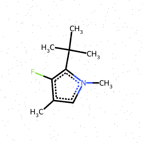 Cc1cn(C)c(C(C)(C)C)c1F